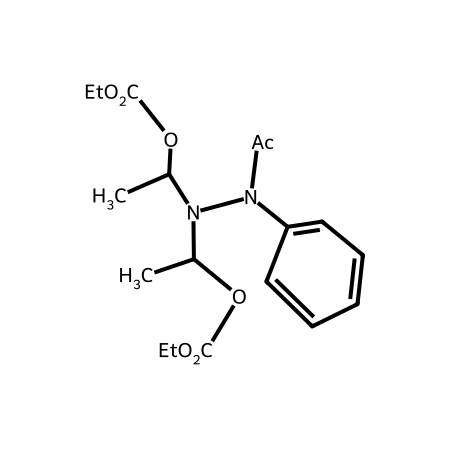 CCOC(=O)OC(C)N(C(C)OC(=O)OCC)N(C(C)=O)c1ccccc1